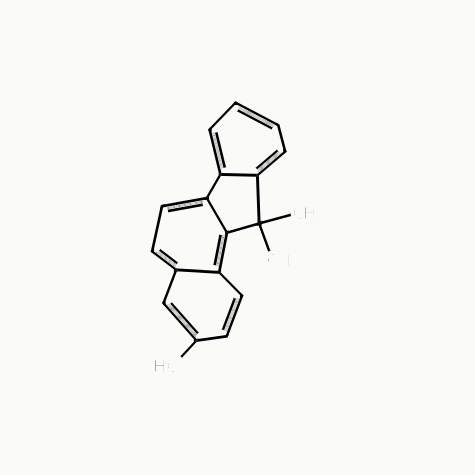 CC1(C)c2ccccc2-c2ccc3cc(O)ccc3c21